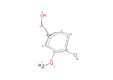 COc1cc([CH]O)ccc1Cl